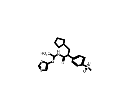 CS(=O)(=O)c1ccc(C(CC2CCCC2)C(=O)NC(Sc2cncs2)C(=O)O)cc1